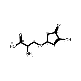 NC(CSC1C=C(O)C(=O)C1)C(=O)O